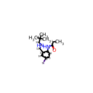 CCC(=O)Nc1ccc(I)cc1CNCC(C)(C)C